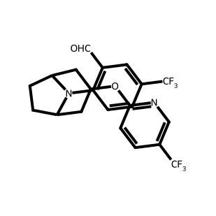 O=Cc1cc(C(F)(F)F)ccc1N1C2CCC1CC(Oc1ccc(C(F)(F)F)cn1)C2